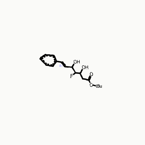 CC(C)(C)OC(=O)CC(O)C(F)C(O)/C=C/c1ccccc1